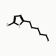 [CH2]CCCCCc1ccc(Cl)s1